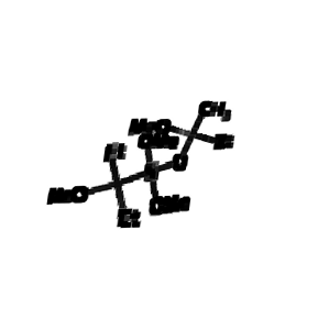 CCC(C)(OC)O[Si](OC)(OC)C(CC)(CC)OC